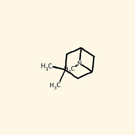 CN1C2CC1CC(C)(C)C2